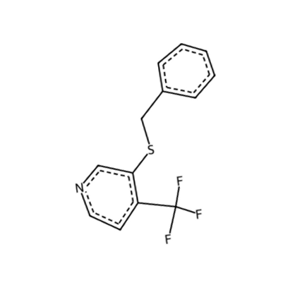 FC(F)(F)c1ccncc1SCc1ccccc1